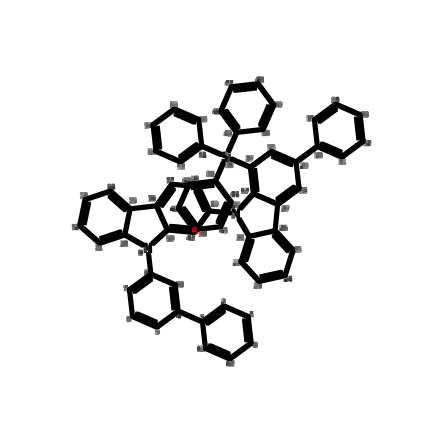 c1ccc(-c2cccc(-n3c4ccccc4c4ccc(-n5c6ccccc6c6cc(-c7ccccc7)cc([Si](c7ccccc7)(c7ccccc7)c7ccccc7)c65)cc43)c2)cc1